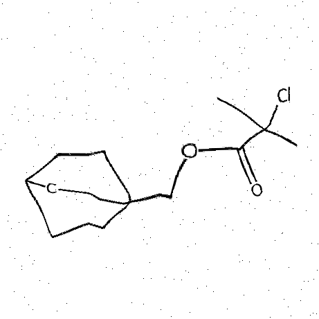 CC(C)(Cl)C(=O)OCC12CCC(CC1)CC2